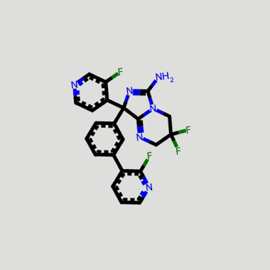 NC1=NC(c2cccc(-c3cccnc3F)c2)(c2ccncc2F)C2=NCC(F)(F)CN12